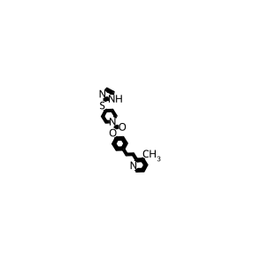 Cc1cccnc1CCc1ccc(OC(=O)N2CCC(Sc3ncc[nH]3)CC2)cc1